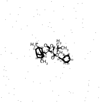 CC(C)(C)[C@H]1OC(=O)[C@H](CC23CC4C[C@@](C)(C2)C[C@](C)(C4)C3)N1C(=O)OCc1ccccc1